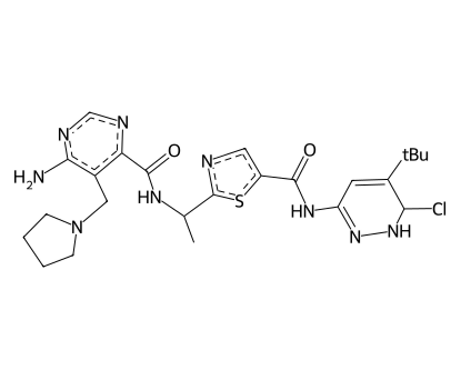 CC(NC(=O)c1ncnc(N)c1CN1CCCC1)c1ncc(C(=O)NC2=NNC(Cl)C(C(C)(C)C)=C2)s1